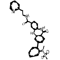 CN(c1ccccc1-c1ccc2c(c1)Nc1cc(C(=O)NCCc3ccccn3)ccc1NC2=O)S(C)(=O)=O